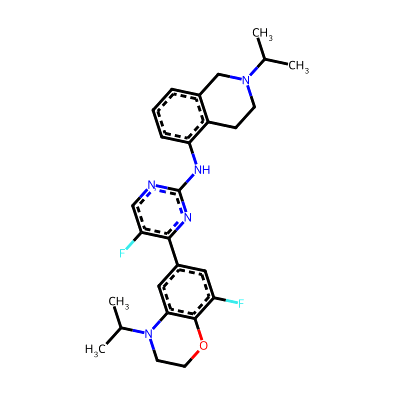 CC(C)N1CCc2c(cccc2Nc2ncc(F)c(-c3cc(F)c4c(c3)N(C(C)C)CCO4)n2)C1